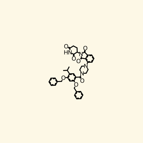 CC(C)c1cc(C(=O)N2CCN(c3cccc4c3C(=O)N(C3CCC(=O)NC3=O)C4=O)CC2)c(OCc2ccccc2)cc1OCc1ccccc1